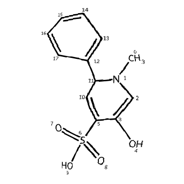 CN1C=C(O)C(S(=O)(=O)O)=CC1c1ccccc1